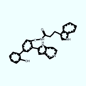 O=C(CCc1c[nH]c2ccccc12)NCc1ccc(-c2ccccc2O)cc1-c1cc2cnccc2[nH]1